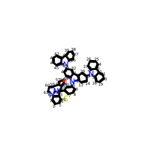 c1ccc2c(c1)Sc1ccc(-n3c4ccc(-n5c6ccccc6c6ccccc65)cc4c4cc(-n5c6ccccc6c6ccccc65)ccc43)cc1C21c2ccccc2-c2ccnn21